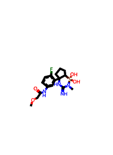 COCC(=O)Nc1ccc(F)c(C23CCCC2S(O)(O)N(C)C(=N)N3)c1